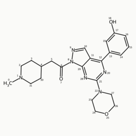 CN1CCC(CC(=O)n2ncc3c(-c4cccc(O)c4)nc(N4CCOCC4)nc32)CC1